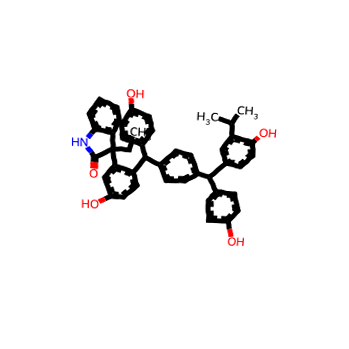 CCC1(c2cc(O)ccc2C(c2ccc(O)cc2)c2ccc(C(c3ccc(O)cc3)c3ccc(O)c(C(C)C)c3)cc2)C(=O)Nc2ccccc21